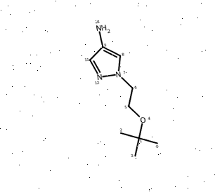 CC(C)(C)OCCn1cc(N)cn1